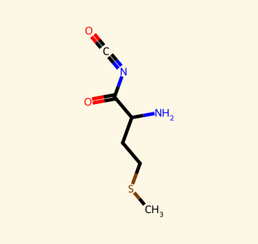 CSCCC(N)C(=O)N=C=O